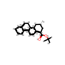 C[C@@H]1CC(C(=O)OC(C)(C)C)=c2ccc3c(c2C1)CC=c1ccccc1=3